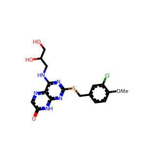 COc1ccc(CSc2nc(NCC(O)CO)c3ncc(=O)[nH]c3n2)cc1Cl